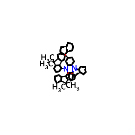 CC1(C)c2ccccc2-c2c(N(c3cc(-c4cccc5ccccc45)ccc3-n3c4ccccc4c4ccccc43)c3cccc4c3-c3ccccc3C4(C)C)cccc21